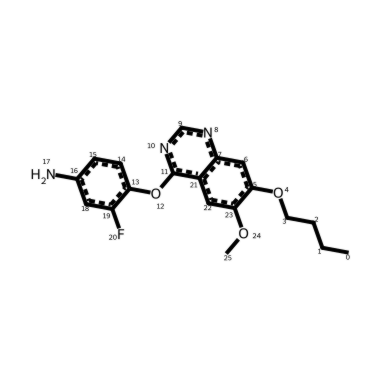 CCCCOc1cc2ncnc(Oc3ccc(N)cc3F)c2cc1OC